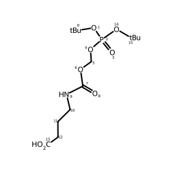 CC(C)(C)OP(=O)(OCOC(=O)NCCCC(=O)O)OC(C)(C)C